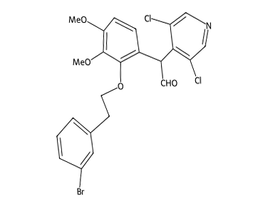 COc1ccc(C(C=O)c2c(Cl)cncc2Cl)c(OCCc2cccc(Br)c2)c1OC